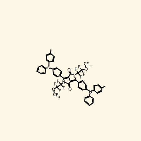 Cc1ccc(N(c2ccccc2)c2ccc(C3=C4C(=O)N(C(F)(F)C(F)(F)OC(F)(F)F)C(c5ccc(N(c6ccccc6)c6ccc(C)cc6)cc5)=C4C(=O)N3C(F)(F)C(F)(F)OC(F)(F)F)cc2)cc1